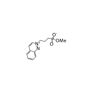 COP(=O)([O-])CCC[n+]1ccc2ccccc2n1